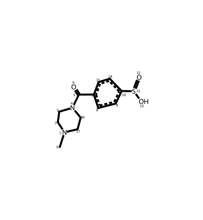 CN1CCN(C(=O)c2ccc(S(=O)O)cc2)CC1